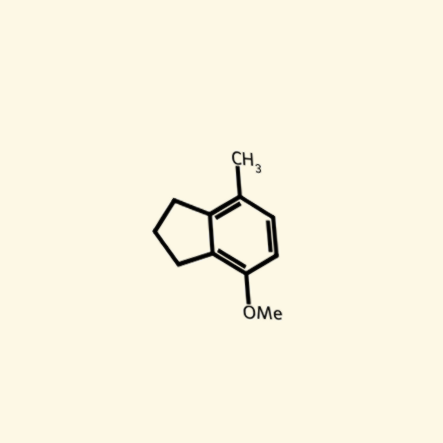 COc1ccc(C)c2c1CCC2